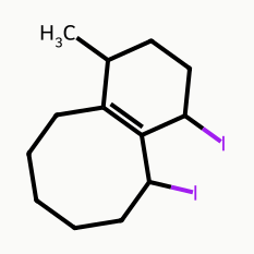 CC1CCC(I)C2=C1CCCCCC2I